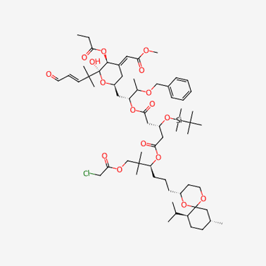 CCC(=O)O[C@H]1/C(=C/C(=O)OC)C[C@@H](C[C@@H](OC(=O)C[C@@H](CC(=O)O[C@@H](CCC[C@@H]2CCOC3(C[C@H](C)CC[C@H]3C(C)C)O2)C(C)(C)COC(=O)CCl)O[Si](C)(C)C(C)(C)C)C(C)OCc2ccccc2)O[C@@]1(O)C(C)(C)/C=C/C=O